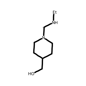 CCN[CH]N1CCC(CO)CC1